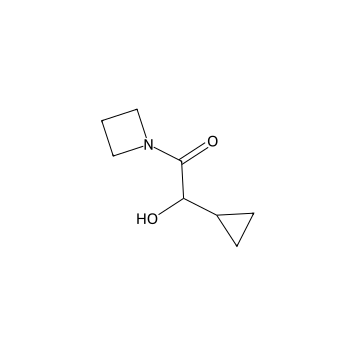 O=C(C(O)C1CC1)N1CCC1